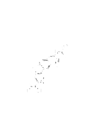 CCC(O)c1cc(C)c(-c2cc3cnc(NC(=O)C4CC4)cc3cn2)cn1